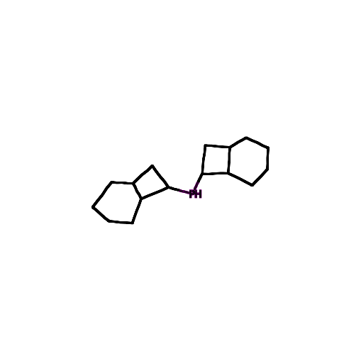 C1CCC2C(C1)CC2PC1CC2CCCCC21